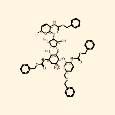 CC[C@H]1C=C[C@@H](NC(=O)OCc2ccccc2)[C@@H](O[C@H]2[C@@H](O)[C@H](O[C@@H]3[C@@H](O)[C@H](NC(=O)OCc4ccccc4)C[C@H](C)[C@H]3O[C@H]3O[C@H](COCc4ccccc4)C=C[C@H]3NC(=O)OCc3ccccc3)O[C@@H]2CC)O1